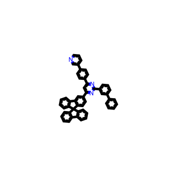 c1ccc(-c2cccc(-c3nc(-c4ccc(-c5cccnc5)cc4)cc(-c4ccc5c(c4)-c4ccccc4C54c5ccccc5-c5ccccc54)n3)c2)cc1